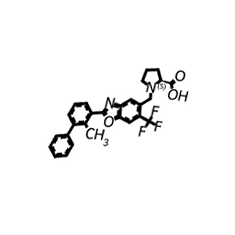 Cc1c(-c2ccccc2)cccc1-c1nc2cc(CN3CCC[C@H]3C(=O)O)c(C(F)(F)F)cc2o1